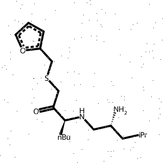 CCCC[C@H](NC[C@H](N)CC(C)C)C(=O)CSCc1ccco1